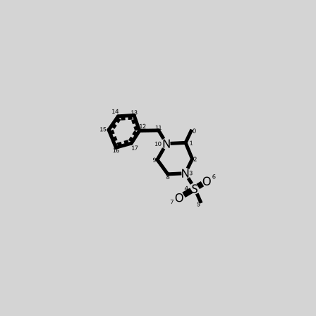 CC1CN(S(C)(=O)=O)CCN1Cc1ccccc1